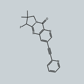 CC1(C)Cn2c(nc3cc(C#Cc4ccccn4)cnc3c2=O)C1F